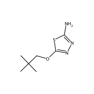 CC(C)(C)COc1nnc(N)s1